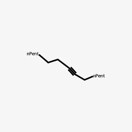 [CH2]CCCCCC#CCCCCCC[CH2]